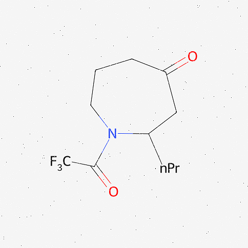 CCCC1CC(=O)CCCN1C(=O)C(F)(F)F